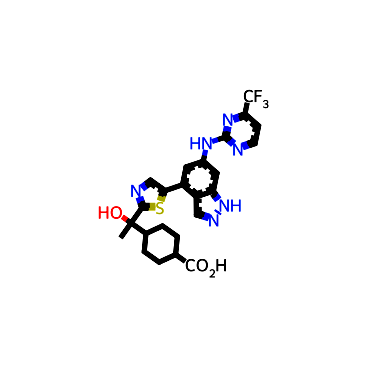 CC(O)(c1ncc(-c2cc(Nc3nccc(C(F)(F)F)n3)cc3[nH]ncc23)s1)C1CCC(C(=O)O)CC1